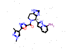 Cc1nn(C)cc1-c1nnc(C(=O)N2CCc3[nH]cnc3[C@H]2c2cc3cccc(P)n3n2)o1